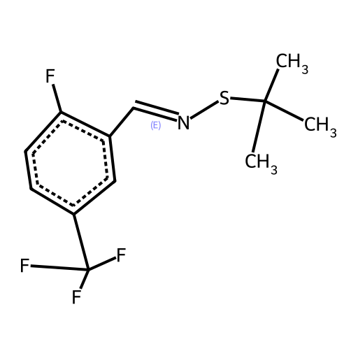 CC(C)(C)S/N=C/c1cc(C(F)(F)F)ccc1F